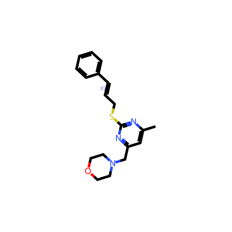 Cc1cc(CN2CCOCC2)nc(SC/C=C/c2ccccc2)n1